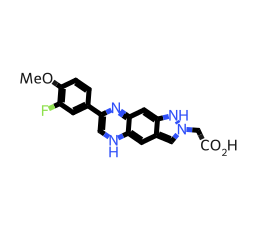 COc1ccc(C2=CNc3cc4c(cc3=N2)NN(CC(=O)O)C=4)cc1F